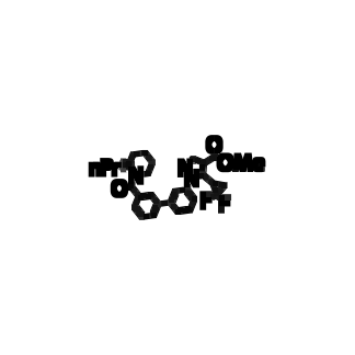 CCC[C@@H]1CCCCN1C(=O)c1cccc(-c2cccc(-n3ncc(C(=O)OC)c3C3CC3(F)F)c2)c1